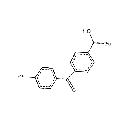 CC(C)(C)C(O)c1ccc(C(=O)c2ccc(Cl)cc2)cc1